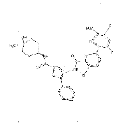 C[C@]1(O)CC[C@@H](NC(=O)c2cc(NC(=O)c3cc(-c4nc(N)c(F)cc4F)ccc3Cl)n(-c3ccccc3)n2)CC1